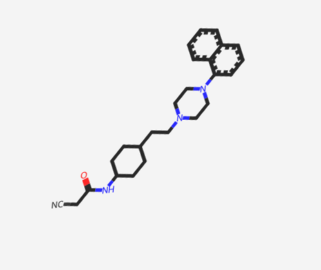 N#CCC(=O)NC1CCC(CCN2CCN(c3cccc4ccccc34)CC2)CC1